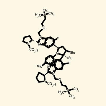 CC(C)(C)c1ccc(N2[C@@H](c3cc4nc([C@H]5CCCN5C(=O)O)n(COCC[Si](C)(C)C)c4cc3F)CC(C(C)(C)C)[C@]2(c2cc3nc([C@@H]4CCCN4C(=O)O)n(COCC[Si](C)(C)C)c3cc2F)C(C)(C)C)cc1